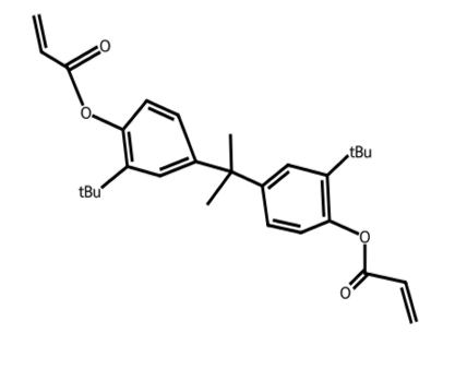 C=CC(=O)Oc1ccc(C(C)(C)c2ccc(OC(=O)C=C)c(C(C)(C)C)c2)cc1C(C)(C)C